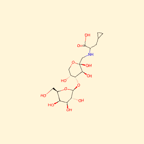 O=C(O)C(CC1CC1)NC[C@@]1(O)OC[C@@H](O)[C@@H](O[C@@H]2O[C@H](CO)[C@H](O)[C@H](O)[C@H]2O)[C@@H]1O